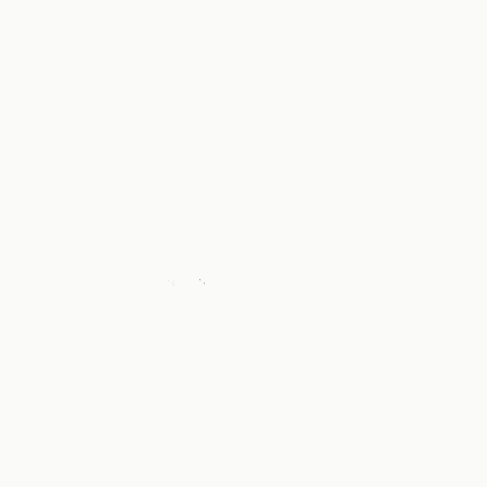 CC1=C[N]N=C1c1ccc(C)cc1